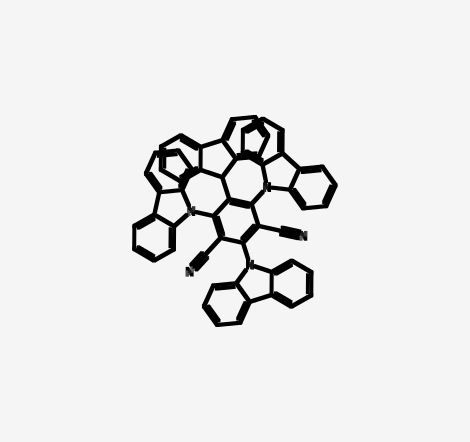 N#Cc1c(-n2c3ccccc3c3ccccc32)c(C#N)c(-n2c3ccccc3c3ccccc32)c(C2c3ccccc3-c3ccccc32)c1-n1c2ccccc2c2ccccc21